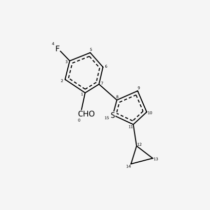 O=Cc1cc(F)ccc1-c1ccc(C2CC2)s1